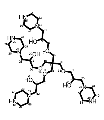 OC(COCC(COCC(O)CN1CCNCC1)(COCC(O)CN1CCNCC1)COCC(O)CN1CCNCC1)CN1CCNCC1